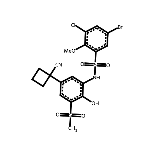 COc1c(Cl)cc(Br)cc1S(=O)(=O)Nc1cc(C2(C#N)CCC2)cc(S(C)(=O)=O)c1O